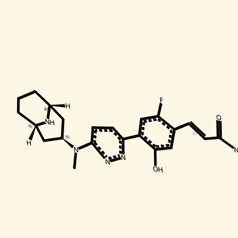 CNC(=O)/C=C/c1cc(O)c(-c2ccc(N(C)[C@@H]3C[C@H]4CCC[C@@H](C3)N4)nn2)cc1F